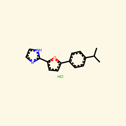 CC(C)c1ccc(-c2ccc(-c3ncc[nH]3)o2)cc1.Cl